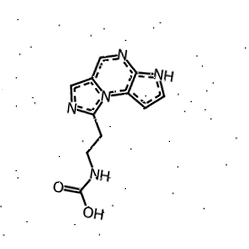 O=C(O)NCCc1ncc2cnc3[nH]ccc3n12